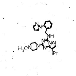 CC(C)c1cnn2c(NCc3ccccc3-n3cccn3)nc(N3CCN(C)CC3)nc12